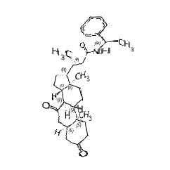 C[C@H](CC(=O)N[C@H](C)c1ccccc1)[C@H]1CC[C@H]2[C@@H]3C(=O)C[C@@H]4CC(=O)CC[C@]4(C)[C@H]3CC[C@]12C